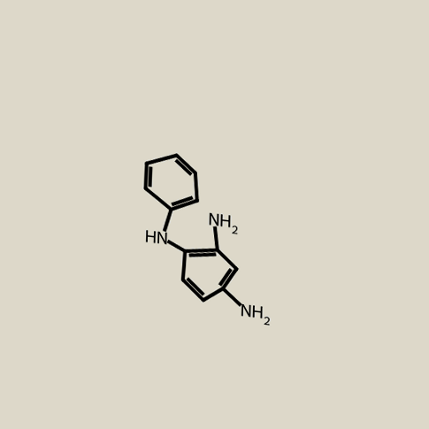 Nc1ccc(Nc2ccccc2)c(N)c1